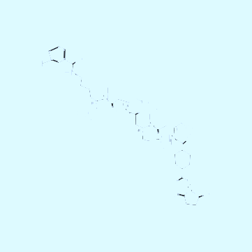 O=C(O)C[C@@H](CC(=O)N[C@@H](CC(=O)O)CC(=O)N[C@H](CCCCNC(=O)c1cccc(I)c1)C(=O)O)NC(=O)C[C@H](CC(=O)O)NC(=O)[C@H]1CC[C@H](C(=O)ON2C(=O)CCC2=O)CC1